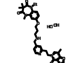 CCN1C(=O)C(C)(C)C(=O)N(C)c2cc(OCCCNCc3ccnc(CCn4cc(C)c5occc5c4=O)c3)ccc21.Cl.Cl